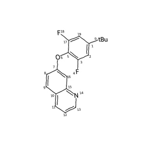 CC(C)(C)c1cc(F)c(Oc2ccc3cccnc3c2)c(F)c1